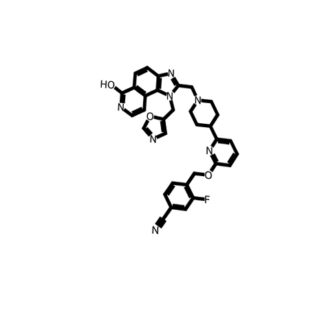 N#Cc1ccc(COc2cccc(C3CCN(Cc4nc5ccc6c(O)nccc6c5n4Cc4cnco4)CC3)n2)c(F)c1